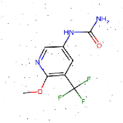 COc1ncc(NC(N)=O)cc1C(F)(F)F